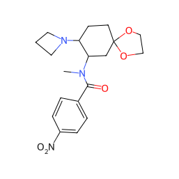 CN(C(=O)c1ccc([N+](=O)[O-])cc1)C1CC2(CCC1N1CCC1)OCCO2